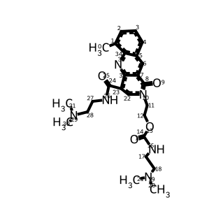 Cc1cccc2cc3c(=O)n(CCOC(=O)NCCN(C)C)cc(C(=O)NCCN(C)C)c3nc12